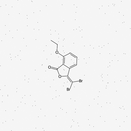 CCOc1cccc2c1C(=O)OC2=C(Br)Br